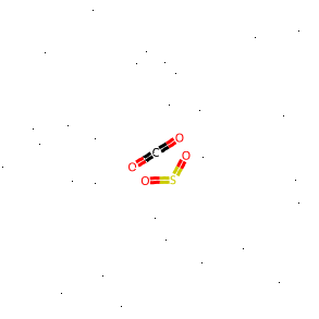 O=C=O.O=S=O